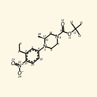 CCc1cc(N2CCN(C(=O)OC(C)(C)C)C[C@@H]2C)ccc1[N+](=O)[O-]